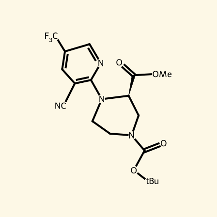 COC(=O)[C@H]1CN(C(=O)OC(C)(C)C)CCN1c1ncc(C(F)(F)F)cc1C#N